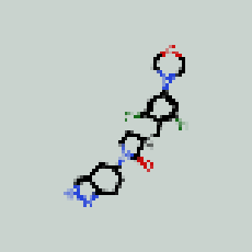 O=C1[C@H](Cc2c(Cl)cc(N3CCOCC3)cc2Cl)CCN1C1CCc2n[nH]cc2C1